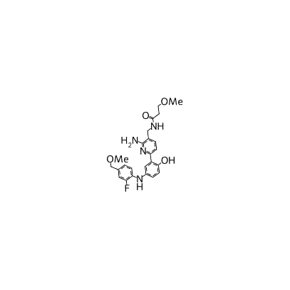 COCCC(=O)NCc1ccc(-c2cc(Nc3ccc(COC)cc3F)ccc2O)nc1N